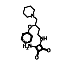 Nc1c(NCCC(CN2CCCCC2)Oc2ccccc2)c(=O)c1=O